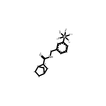 O=C(NCc1cccc(S(F)(F)(F)(F)F)c1)C1CC2CCC1C2